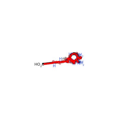 CCCC[C@H](NC(=O)[C@@H]1CCCN1C(=O)COCCOCCNC(=O)COCCOCCNC(=O)CCCCCCCCCCCCCCC(=O)O)C(=O)N[C@H]1CCC(=O)CCCNCCCC[C@@H](C(N)=O)NC(=O)[C@H](Cc2c[nH]c3ccccc23)NC(=O)[C@H](CCCNC(=N)N)NC(=O)[C@@H](Cc2ccccc2)NC(=O)[C@@H]2C[C@@H](O)CN2C1=O